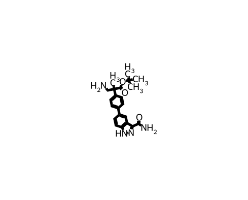 CC(C)(C)OC(=O)C(C)(CN)c1ccc(-c2ccc3[nH]nc(C(N)=O)c3c2)cc1